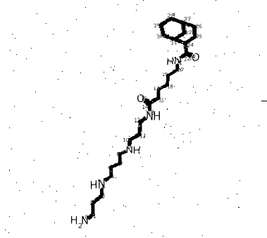 NCCCNCCCCNCCCNC(=O)CCCCCNC(=O)C1CCC2CCCC1C2